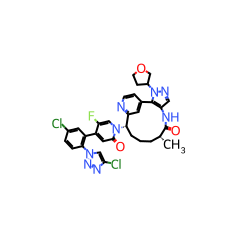 C[C@@H]1CCC[C@H](n2cc(F)c(-c3cc(Cl)ccc3-n3cc(Cl)nn3)cc2=O)c2cc(ccn2)-c2c(cnn2C2CCOC2)NC1=O